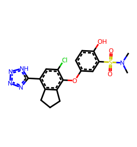 CN(C)S(=O)(=O)c1cc(Oc2c(Cl)cc(-c3nnn[nH]3)c3c2CCC3)ccc1O